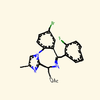 CC(=O)OC1N=C(c2ccccc2F)c2cc(Br)ccc2-n2cc(C)nc21